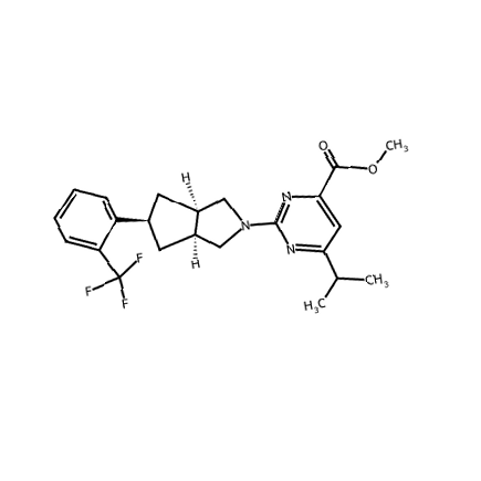 COC(=O)c1cc(C(C)C)nc(N2C[C@H]3C[C@@H](c4ccccc4C(F)(F)F)C[C@H]3C2)n1